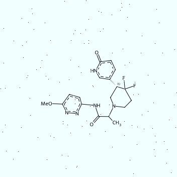 COc1ccc(NC(=O)C(C)N2CCC(F)(F)[C@@H](c3ccc(=O)[nH]c3)C2)nn1